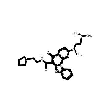 CN(C)CCN(C)c1ccc2c(=O)c(C(=O)NCCN3CCCC3)c3sc4ccccc4n3c2n1